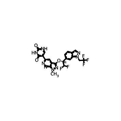 Cn1nc(O[C@H](c2ccc3cnn(CC(F)(F)F)c3c2)C(F)F)c2cc(-c3c[nH]c(=O)[nH]c3=O)nnc21